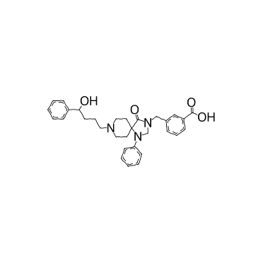 O=C(O)c1cccc(CN2CN(c3ccccc3)C3(CCN(CCCC(O)c4ccccc4)CC3)C2=O)c1